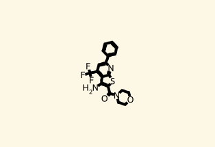 Nc1c(C(=O)N2CCOCC2)sc2nc(-c3ccccc3)cc(C(F)(F)F)c12